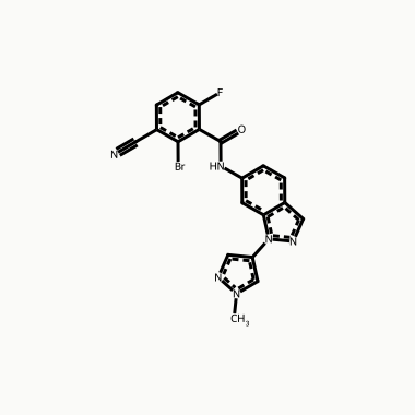 Cn1cc(-n2ncc3ccc(NC(=O)c4c(F)ccc(C#N)c4Br)cc32)cn1